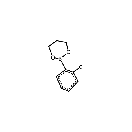 Clc1ccccc1B1OCCCO1